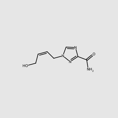 NC(=O)c1ncn(C/C=C\CO)n1